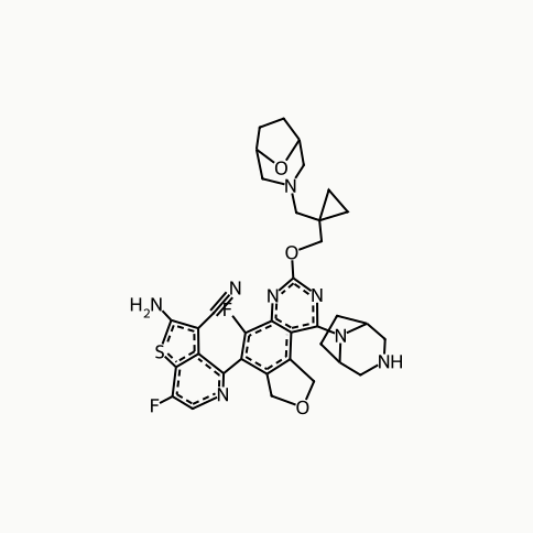 N#Cc1c(N)sc2c(F)cnc(-c3c4c(c5c(N6C7CCC6CNC7)nc(OCC6(CN7CC8CCC(C7)O8)CC6)nc5c3F)COC4)c12